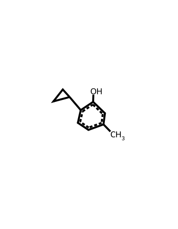 Cc1ccc(C2CC2)c(O)c1